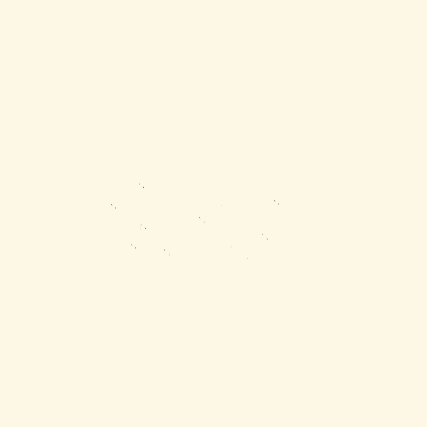 CC(c1ncnn1-c1ncccn1)N(CC1CC1)C(=O)c1cnc(C2CC2)nc1